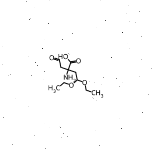 CCOC(CC(N)(CC=O)C(=O)O)OCC